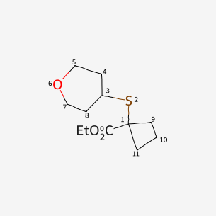 CCOC(=O)C1(SC2CCOCC2)CCC1